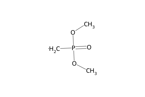 [CH2]P(=O)(OC)OC